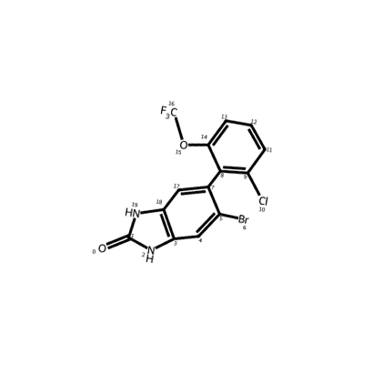 O=c1[nH]c2cc(Br)c(-c3c(Cl)cccc3OC(F)(F)F)cc2[nH]1